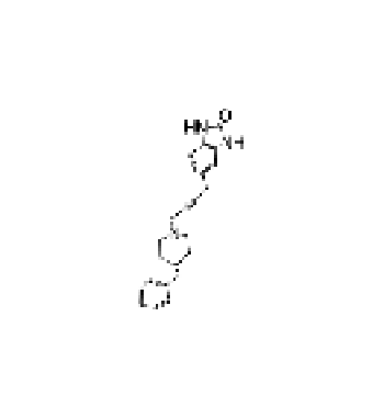 O=c1[nH]c2ccc(CC#CCN3CCC(Cc4ccccc4)CC3)cc2[nH]1